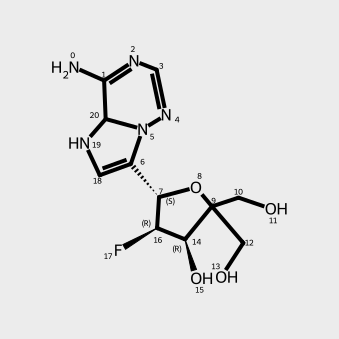 NC1=NC=NN2C([C@@H]3OC(CO)(CO)[C@@H](O)[C@H]3F)=CNC12